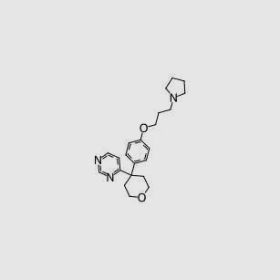 c1cc(C2(c3ccc(OCCCN4CCCC4)cc3)CCOCC2)ncn1